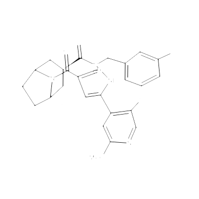 COc1cc(-c2cc(C(=O)N3[C@@H]4CC[C@H]3C[C@@H](C(=O)NCc3cccc(Cl)c3)C4)n[nH]2)c(Cl)cn1